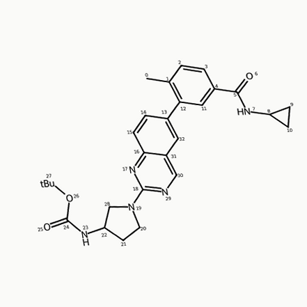 Cc1ccc(C(=O)NC2CC2)cc1-c1ccc2nc(N3CCC(NC(=O)OC(C)(C)C)C3)ncc2c1